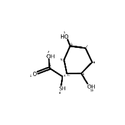 O=C(O)CS.OC1CCC(O)CC1